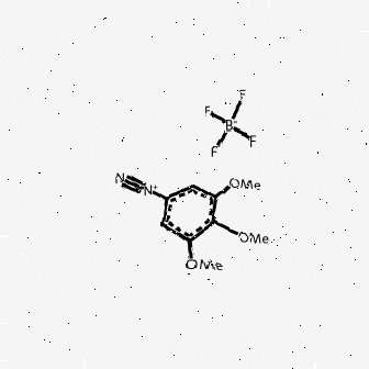 COc1cc([N+]#N)cc(OC)c1OC.F[B-](F)(F)F